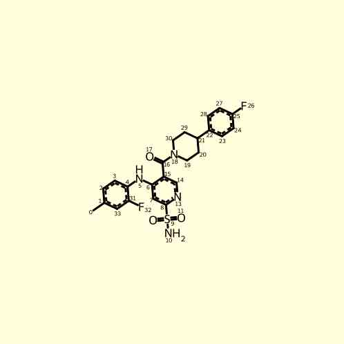 Cc1ccc(Nc2cc(S(N)(=O)=O)ncc2C(=O)N2CCC(c3ccc(F)cc3)CC2)c(F)c1